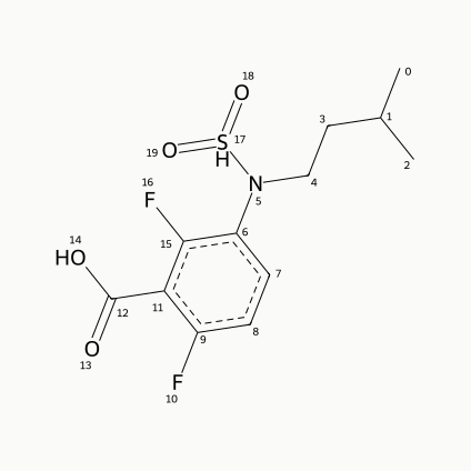 CC(C)CCN(c1ccc(F)c(C(=O)O)c1F)[SH](=O)=O